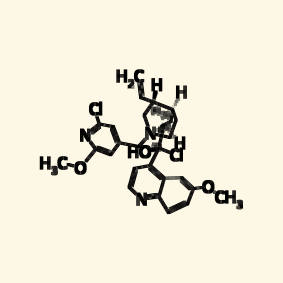 C=C[C@H]1C[N+]2(Cc3cc(Cl)nc(OC)c3)CC[C@H]1C[C@H]2[C@](O)(Cl)c1ccnc2ccc(OC)cc12